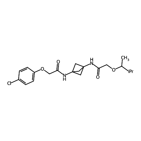 CC(C)C(C)OCC(=O)NC12CC(NC(=O)COc3ccc(Cl)cc3)(C1)C2